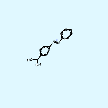 OC(O)c1ccc(/N=N/c2ccccc2)cc1